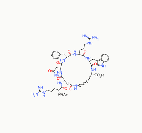 CC(=O)NC(CCCNC(=N)N)C(=O)N[C@H]1CC(=O)NCCCC[C@@H](C(=O)O)NC(=O)[C@H](Cc2c[nH]c3ccccc23)NC(=O)C(CCCNC(=N)N)NC(=O)[C@@H](Cc2ccccc2)NC(=O)[C@H](CC(N)=O)NC1=O